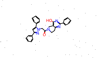 O=C(Cn1nc(-c2ccccc2)cc1-c1ccccc1)N1CCc2nc(-c3ccccc3)nc(O)c2C1